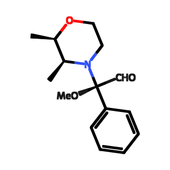 CO[C@@](C=O)(c1ccccc1)N1CCO[C@H](C)[C@@H]1C